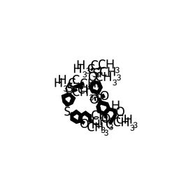 CC1(C)Oc2ccc(S(=O)(=O)c3ccc(O[Si](C)(C)C(C)(C)C)cc3)cc2[C@@H]2O[C@@]21C.CC1=Cc2cc(Sc3ccc(O[Si](C)(C)C(C)(C)C)cc3)ccc2OC1(C)C